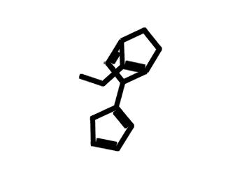 CCC1=C2CCC1=[C]C2C1=CC=CC1